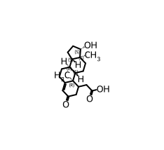 C[C@]12CC[C@H]3[C@@H](CCC4=CC(=O)CC(CC(=O)O)[C@@]43C)[C@@H]1CC[C@@H]2O